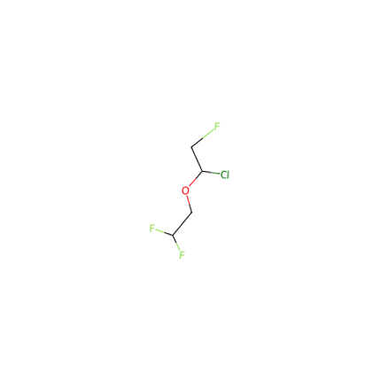 FCC(Cl)OCC(F)F